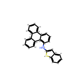 c1ccc2sc(Nc3cccc4c5ccccc5c5ccccc5c34)cc2c1